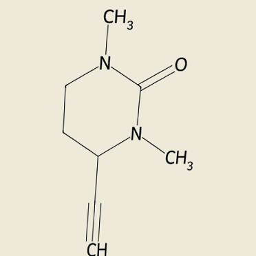 C#CC1CCN(C)C(=O)N1C